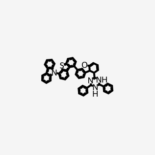 C1=CC(C2=NC(c3ccccc3)NC(c3ccccc3)N2)C2C(=C1)Oc1c(-c3cccc4sc5c(-n6c7ccccc7c7ccccc76)cccc5c34)cccc12